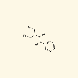 CC(C)CC(CC(C)C)C(=O)C(=O)c1ccccc1